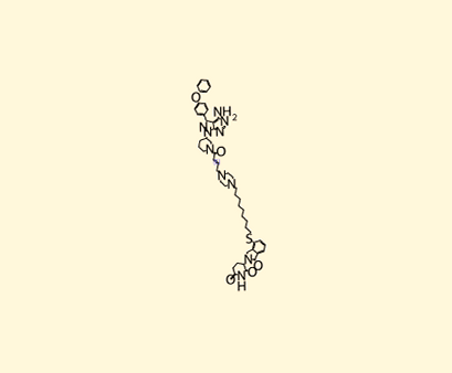 Nc1ncnc2c1c(-c1ccc(Oc3ccccc3)cc1)nn2C1CCCN(C(=O)/C=C/CN2CCN(CCCCCCCCCSc3cccc4c3CN(C3CCC(=O)NC3=O)C4=O)CC2)C1